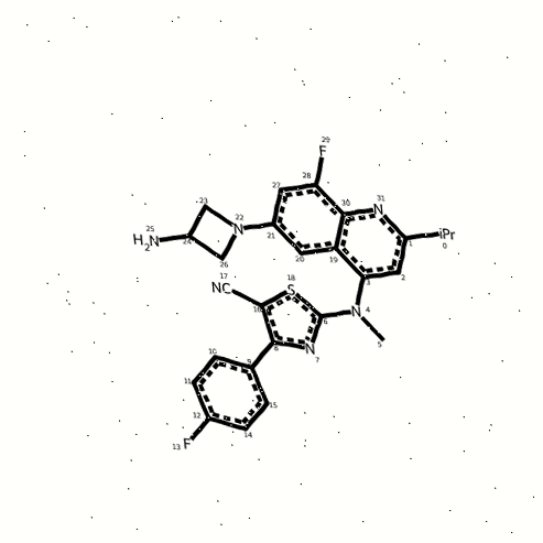 CC(C)c1cc(N(C)c2nc(-c3ccc(F)cc3)c(C#N)s2)c2cc(N3CC(N)C3)cc(F)c2n1